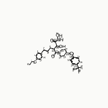 CCOc1ccc(CCCC(C(=O)N2CCC(Oc3ccc(C(F)(F)F)cc3)CC2)[C@H](O)C(=O)NO)cc1